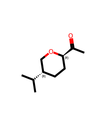 CC(=O)[C@H]1CC[C@H](C(C)C)CO1